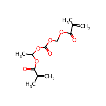 C=C(C)C(=O)OCOC(=O)OC(C)OC(=O)C(=C)C